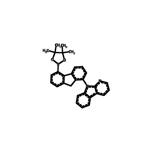 CC1(C)OB(c2cccc3c2-c2cccc(-n4c5ccccc5c5cccnc54)c2C3)OC1(C)C